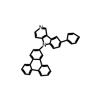 c1ccc(-c2ccc3c(c2)c2cnccc2n3-c2ccc3c4ccccc4c4ccccc4c3c2)cc1